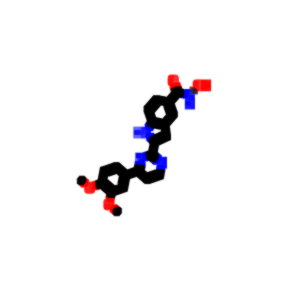 COc1ccc(-c2ccnc(-c3cc4cc(C(=O)NO)ccc4[nH]3)n2)cc1OC